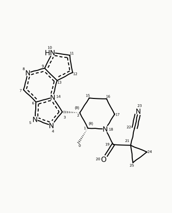 C[C@@H]1[C@H](c2nnc3cnc4[nH]ccc4n23)CCCN1C(=O)C1(C#N)CC1